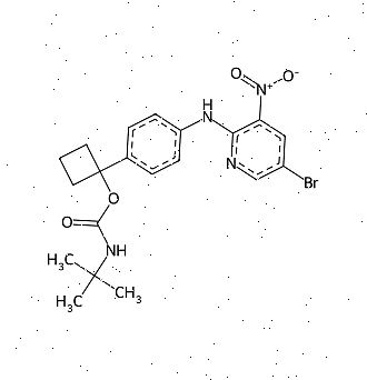 CC(C)(C)NC(=O)OC1(c2ccc(Nc3ncc(Br)cc3[N+](=O)[O-])cc2)CCC1